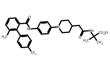 CCOC(=O)C(C)(C)NC(=O)CC1CCN(c2ccc(NC(=O)c3cccc(C)c3-c3ccc(C(F)(F)F)cc3)cc2)CC1